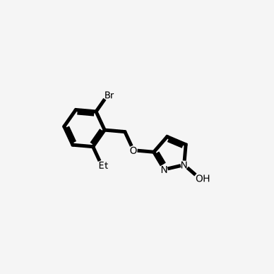 CCc1cccc(Br)c1COc1ccn(O)n1